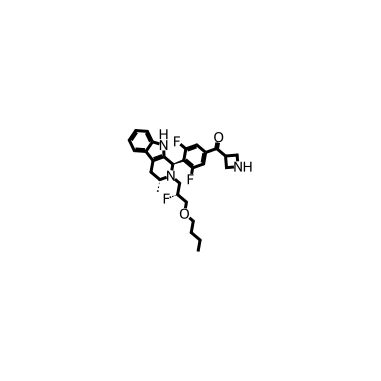 CCCCOC[C@H](F)CN1[C@H](c2c(F)cc(C(=O)C3CNC3)cc2F)c2[nH]c3ccccc3c2C[C@H]1C